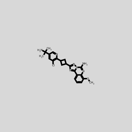 COc1cccc2c1nc(N)n1nc(C3CC(c4ncc(C(C)(C)N)cc4Cl)C3)nc21